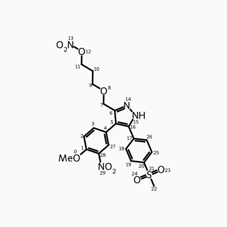 COc1ccc(-c2c(COCCCO[N+](=O)[O-])n[nH]c2-c2ccc(S(C)(=O)=O)cc2)cc1[N+](=O)[O-]